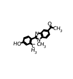 CC(=O)c1ccc2c(c1)nc(-c1ccc(O)cc1C)n2C